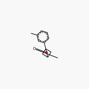 Cc1cccc(C23CC(C2)OC3=O)c1